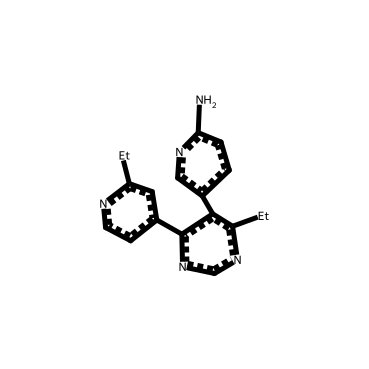 CCc1cc(-c2ncnc(CC)c2-c2ccc(N)nc2)ccn1